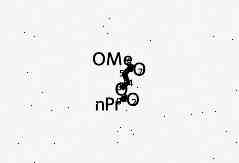 CCCC(=O)OCCC(=O)OC